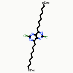 CCCCCCCCCCCCCCCCCCc1nc(Cl)nc2c(CCCCCCCCCCCCCCCCCC)nc(Cl)nc12